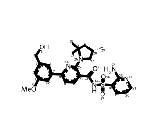 COc1cc(CO)cc(-c2ccc(C(=O)NS(=O)(=O)c3cccnc3N)c(N3C[C@@H](C)CC3(C)C)n2)c1